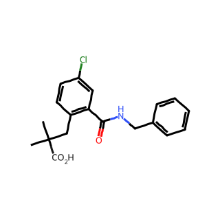 CC(C)(Cc1ccc(Cl)cc1C(=O)NCc1ccccc1)C(=O)O